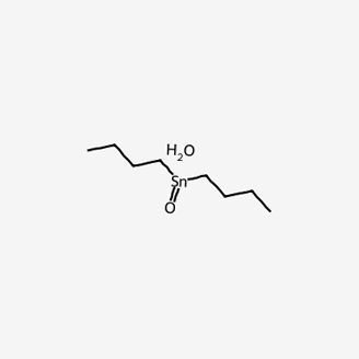 CCC[CH2][Sn](=[O])[CH2]CCC.O